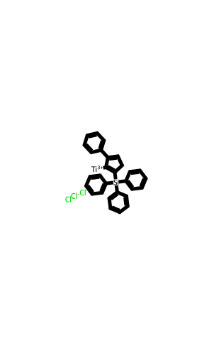 [Cl-].[Cl-].[Cl-].[Ti+3][C]1=C([Si](c2ccccc2)(c2ccccc2)c2ccccc2)CC=C1c1ccccc1